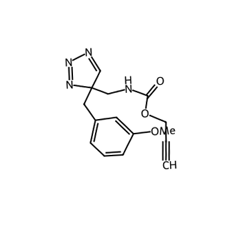 C#CCOC(=O)NCC1(Cc2cccc(OC)c2)C=NN=N1